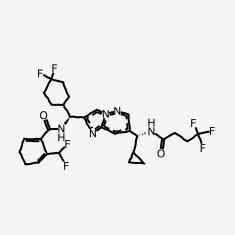 O=C(CCC(F)(F)F)N[C@@H](c1cnn2cc([C@@H](NC(=O)C3=CCCC=C3C(F)F)C3CCC(F)(F)CC3)nc2c1)C1CC1